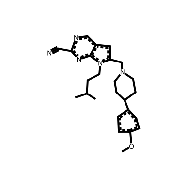 COc1ccc(C2CCN(Cc3cc4cnc(C#N)nc4n3CCC(C)C)CC2)cc1